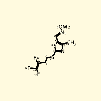 CON=Cc1sc(SCCC(F)=C(F)F)nc1C